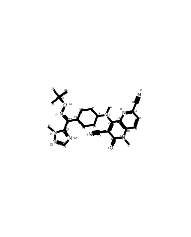 CN(c1c(C#N)c(=O)n(C)c2ccc(C#N)nc12)C1CCC(/C(=N\OC(C)(C)C)c2ncnn2C)CC1